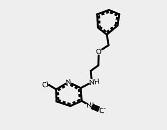 [C-]#[N+]c1ccc(Cl)nc1NCCOCc1ccccc1